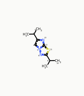 CC(C)c1cn2nc(C(C)C)sc2n1